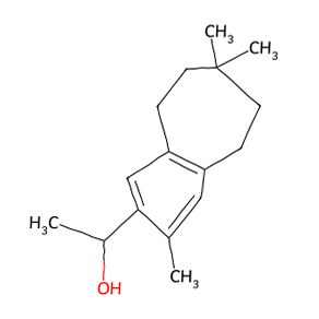 Cc1cc2c(cc1C(C)O)CCC(C)(C)CC2